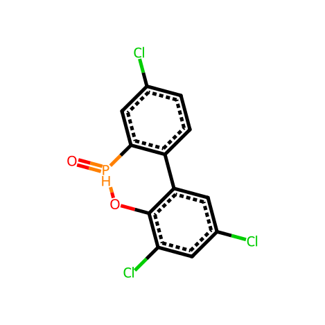 O=[PH]1Oc2c(Cl)cc(Cl)cc2-c2ccc(Cl)cc21